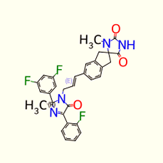 CN1C(=O)NC(=O)C12Cc1ccc(/C=C/CN3C(=O)C(c4ccccc4F)=N[C@@]3(C)c3cc(F)cc(F)c3)cc1C2